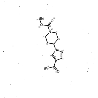 CC(C)C(=O)c1cnn(C2CCN(C(=O)OC(C)(C)C)CC2)c1